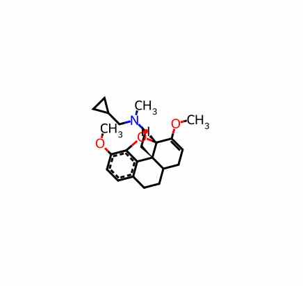 COC1=CCC2CCc3ccc(OC)c4c3[C@]2(CCN(C)CC2CC2)[C@@H]1O4